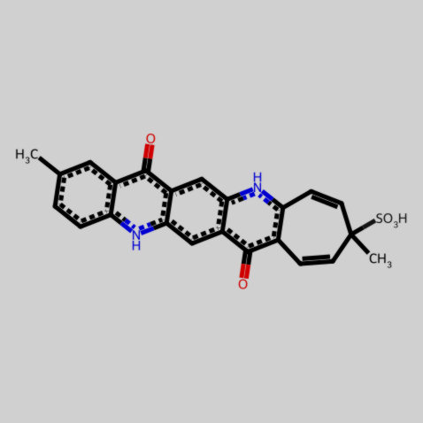 Cc1ccc2[nH]c3cc4c(=O)c5c([nH]c4cc3c(=O)c2c1)C=CC(C)(S(=O)(=O)O)C=C5